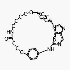 O=C1CCCc2ccc(cc2)Nc2ncc3ncn(c3n2)-c2ccc(cc2)OCCCCN1